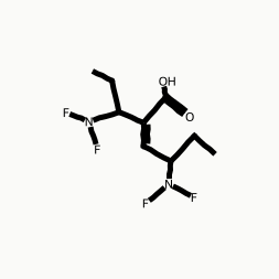 CCC(/C=C(\C(=O)O)C(CC)N(F)F)N(F)F